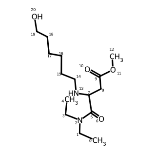 CCN(CC)C(=O)C(CC(=O)OC)NCCCCCCO